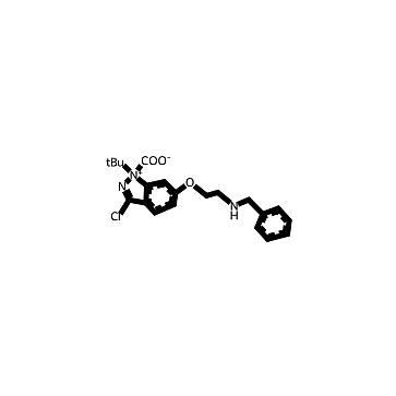 CC(C)(C)[N+]1(C(=O)[O-])N=C(Cl)c2ccc(OCCNCc3ccccc3)cc21